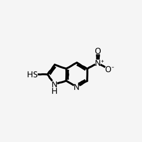 O=[N+]([O-])c1cnc2[nH]c(S)cc2c1